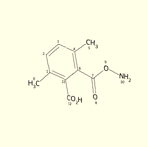 Cc1ccc(C)c(C(=O)ON)c1C(=O)O